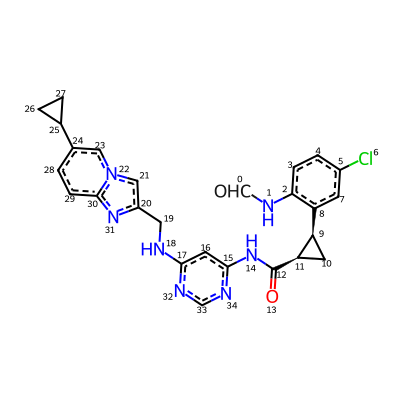 O=CNc1ccc(Cl)cc1[C@H]1C[C@H]1C(=O)Nc1cc(NCc2cn3cc(C4CC4)ccc3n2)ncn1